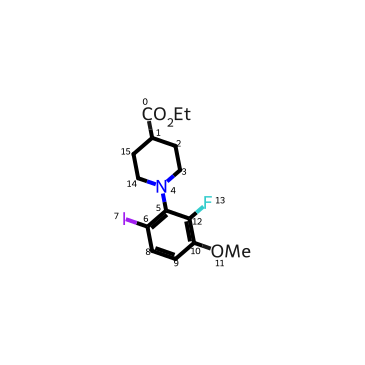 CCOC(=O)C1CCN(c2c(I)ccc(OC)c2F)CC1